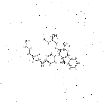 C=C(CF)CCN1[C@@H](c2ccc(NC3CN(CCCF)C3)cc2)c2[nH]c3ccccc3c2C[C@@H]1C